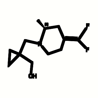 C[C@@H]1CC(=C(F)F)CCN1CC1(CO)CC1